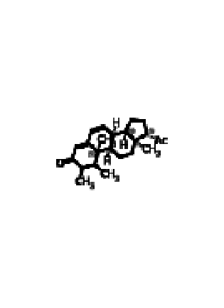 CC(=O)[C@H]1CC[C@H]2[C@@H]3C=CC4=CC(=O)C(C)C(C)[C@@]4(C)[C@@H]3CC[C@]12C